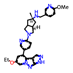 CCOc1cc(-c2ccc(N3CC4C[C@](C)(NCc5ccc(OC)nc5)C[C@H]4C3)nc2)c2c3cn[nH]c3nn2c1